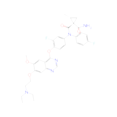 CCN(CC)CCOc1cc2ncnc(Oc3ccc(N(C(=O)[C@]4(C(N)=O)C[C@H]4C)c4ccc(F)cc4)cc3F)c2cc1OC